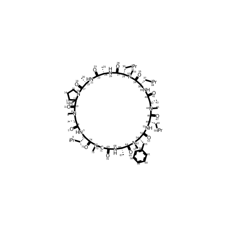 CC(C)C[C@@H]1NC(=O)[C@H](C)N(C)C(=O)[C@@H]2CCCN2C(=O)[C@H](C)NC(=O)[C@H](C)NC(=O)[C@H](CC(C)C)N(C)C(=O)[C@H](CC(C)C)NC(=O)[C@H](C)N(C)C(=O)[C@H](CC(C)C)NC(=O)[C@H](Cc2ccccc2)N(C)C(=O)[C@H](C)NC(=O)CN(C)C1=O